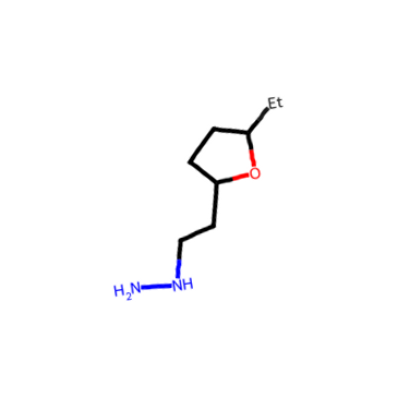 CCC1CCC(CCNN)O1